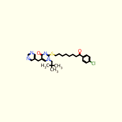 CC(C)(C)Cn1cc(Cc2cncnc2)c(=O)nc1SCCCCCCCC(=O)c1ccc(Cl)cc1